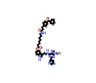 CC(C)n1cnc2c(NCCc3c[nH]c4ccc(OC(=O)CCCCCCCNC(=O)CCc5ccc(C(=O)c6ccccc6)cc5)cc34)nc(-c3cncc(F)c3)nc21